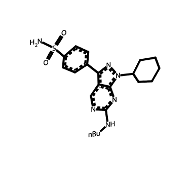 CCCCNc1ncc2c(-c3ccc(S(N)(=O)=O)cc3)nn(C3CCCCC3)c2n1